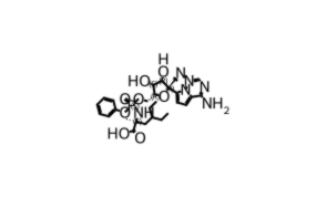 CCC(CC)C[C@](C)(N[P@](=O)(OC[C@H]1O[C@@](C#N)(c2ccc3c(N)ncnn23)[C@H](O)[C@@H]1O)Oc1ccccc1)C(=O)O